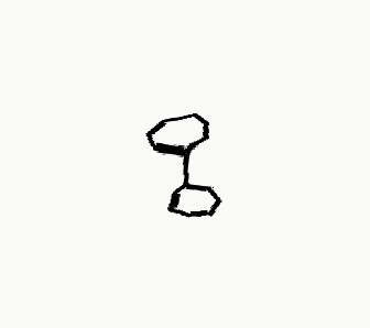 [C]1=C(C2=CC=CCCC2)C=CC=CC1